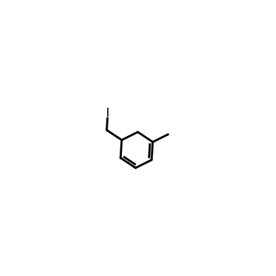 CC1=CC=CC(CI)C1